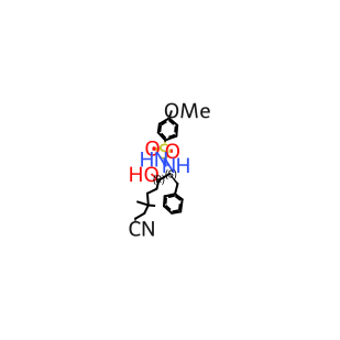 COc1ccc(S(=O)(=O)NN[C@@H](Cc2ccccc2)[C@H](O)CCC(C)(C)CCC#N)cc1